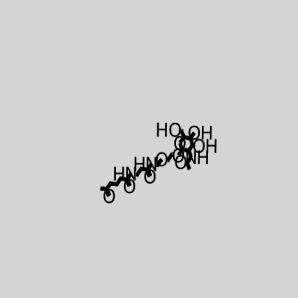 CC(=O)CCCC(=O)NCCC(=O)NCOCCOC1OC(CO)C(O)C(O)C1NC(C)=O